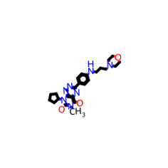 Cn1c(=O)c2nc(-c3ccc(NCCCN4CCOCC4)cc3)nnc2n(C2CCCC2)c1=O